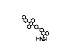 c1ccc2cc(-c3c4ccccc4c(-c4ccc(-c5ccc6c(c5)cc(-c5ncc[nH]5)c5ccccc56)cc4)c4ccccc34)ccc2c1